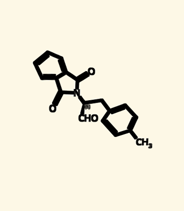 Cc1ccc(C[C@@H](C=O)N2C(=O)c3ccccc3C2=O)cc1